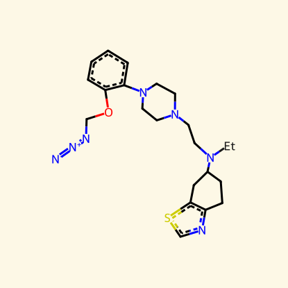 CCN(CCN1CCN(c2ccccc2OCN=[N+]=[N-])CC1)C1CCc2ncsc2C1